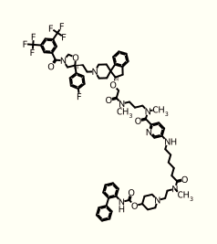 CN(CCN1CCC(OC(=O)Nc2ccccc2-c2ccccc2)CC1)C(=O)CCCCCNc1ccc(C(=O)N(C)CCCN(C)C(=O)CO[C@H]2Cc3ccccc3C23CCN(CC[C@@]2(c4ccc(F)cc4)CN(C(=O)c4cc(C(F)(F)F)cc(C(F)(F)F)c4)CO2)CC3)nc1